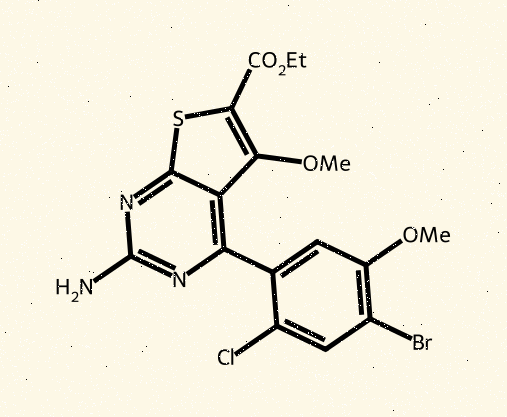 CCOC(=O)c1sc2nc(N)nc(-c3cc(OC)c(Br)cc3Cl)c2c1OC